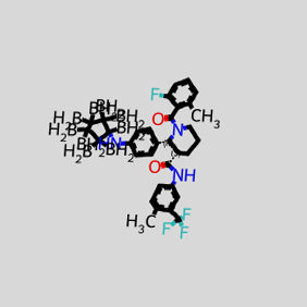 BC1(B)C(B)(B)C(B)(B)C(B)(Nc2ccc([C@H]3[C@@H](C(=O)Nc4ccc(C)c(C(F)(F)F)c4)CCCN3C(=O)c3c(C)cccc3F)cc2)C1(B)B